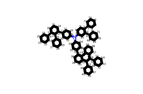 c1ccc(-c2ccc(N(c3ccc(-c4cccc(-c5ccccc5)c4-c4ccccc4)cc3)c3ccc(-c4cccc5c(-c6ccccc6)c(-c6ccccc6)c6ccccc6c45)cc3)cc2-c2ccccc2)cc1